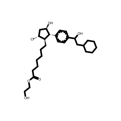 O=C(CCCCCC[C@@H]1[C@@H](c2ccc(C(O)CC3CCCCC3)cc2)[C@H](O)C[C@H]1Cl)OCCO